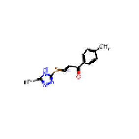 CCCc1nnc(S/C=C/C(=O)c2ccc(C)cc2)[nH]1